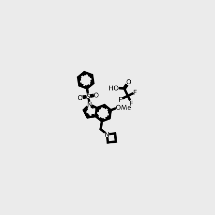 COc1cc(CN2CCC2)c2ccn(S(=O)(=O)c3ccccc3)c2c1.O=C(O)C(F)(F)F